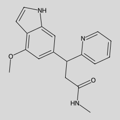 CNC(=O)CC(c1cc(OC)c2cc[nH]c2c1)c1ccccn1